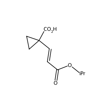 CC(C)OC(=O)C=CC1(C(=O)O)CC1